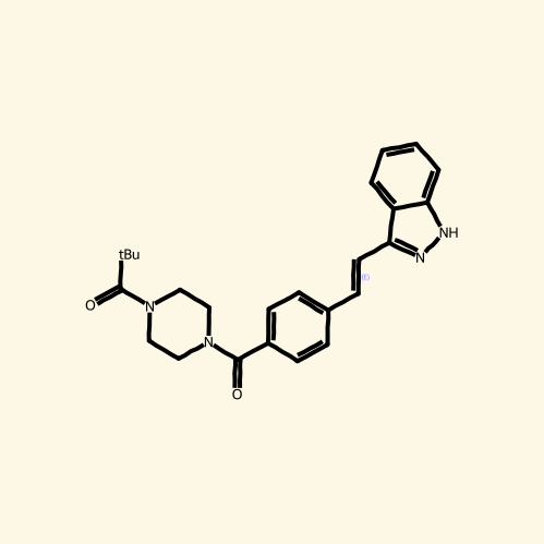 CC(C)(C)C(=O)N1CCN(C(=O)c2ccc(/C=C/c3n[nH]c4ccccc34)cc2)CC1